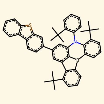 CC(C)(C)c1ccccc1N1c2cc(-c3ccc4c(c3)sc3ccccc34)cc3c2B(c2cccc(C(C)(C)C)c2-3)c2cccc(C(C)(C)C)c21